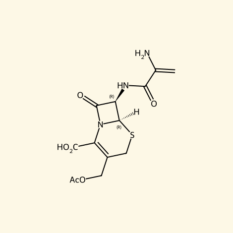 C=C(N)C(=O)N[C@@H]1C(=O)N2C(C(=O)O)=C(COC(C)=O)CS[C@H]12